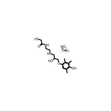 CCO[N+](=O)[O-].Cc1cc(OCC(O)CNCCNC(=O)CS)c(C)c(C)c1O